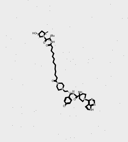 C[C@@H]1C[C@@H](O)CN1C(=O)[C@@H](NC(=O)CCCCCCCCCCCC(=O)N1CCN(CC[C@H](NC(=O)C2(N)CCN(c3ncnc4[nH]ccc34)CC2)c2ccc(Cl)cc2)CC1)C(C)(C)C